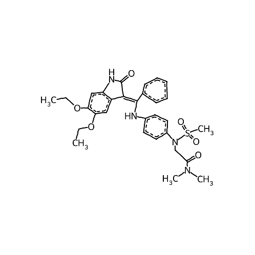 CCOc1cc2c(cc1OCC)C(=C(Nc1ccc(N(CC(=O)N(C)C)S(C)(=O)=O)cc1)c1ccccc1)C(=O)N2